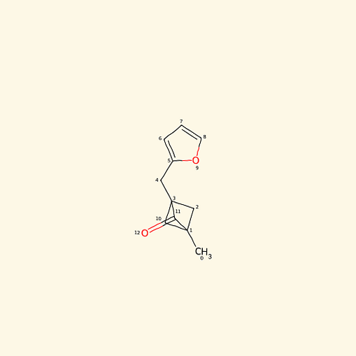 CC12CC(Cc3ccco3)(C1)C2=O